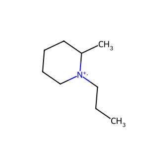 CCC[N+]1CCCCC1C